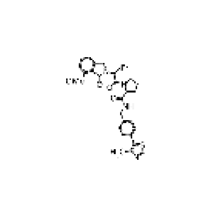 COc1cccc2c1C(=O)N(C(C(=O)N1CCC[C@H]1C(=O)NCc1ccc(-c3scnc3C)cc1)C(C)C)C2